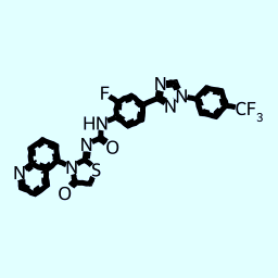 O=C(/N=C1\SCC(=O)N1c1cccc2ncccc12)Nc1ccc(-c2ncn(-c3ccc(C(F)(F)F)cc3)n2)cc1F